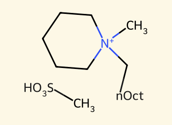 CCCCCCCCC[N+]1(C)CCCCC1.CS(=O)(=O)O